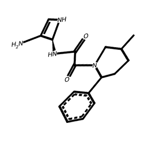 CC1CCC(c2ccccc2)N(C(=O)C(=O)N[C@@H]2NC=C2N)C1